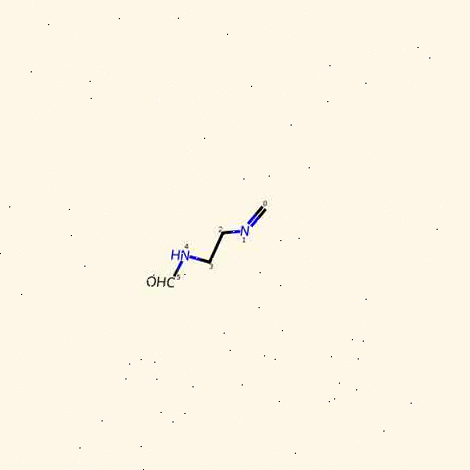 C=NCCNC=O